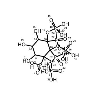 O=P(O)(O)OC1(P(=O)(O)O)C(O)C(O)C(O)C(OP(=O)(O)O)(P(=O)(O)O)C1(OP(=O)(O)O)P(=O)(O)O